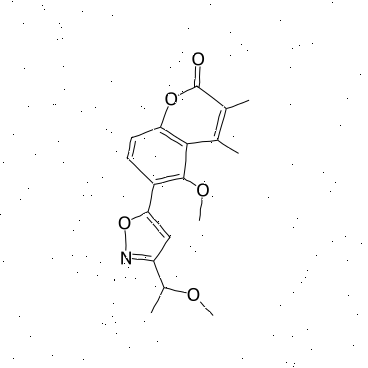 COc1c(-c2cc(C(C)OC)no2)ccc2oc(=O)c(C)c(C)c12